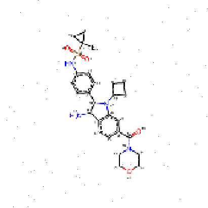 CCC1(S(=O)(=O)Nc2ccc(C3C(N)c4ccc(C(=O)N5CCOCC5)cc4N3C3CCC3)cc2)CC1